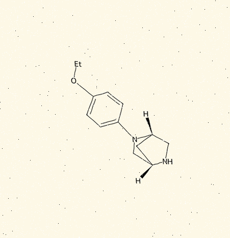 CCOc1ccc(N2C[C@@H]3C[C@H]2CN3)cc1